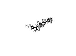 Cn1nnnc1SCC1=C(C(=O)O)N2C(=O)C(NC(=O)C(=C(Cl)Cl)c3csc(N)n3)[C@@H]2SC1